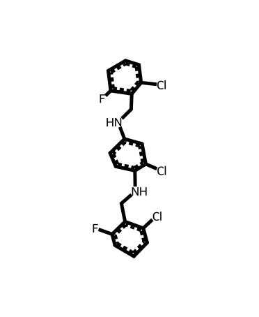 Fc1cccc(Cl)c1CNc1ccc(NCc2c(F)cccc2Cl)c(Cl)c1